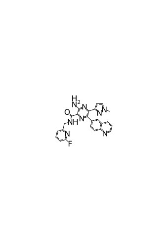 Cn1ccc(-c2nc(N)c(C(=O)NCc3cccc(F)n3)nc2-c2ccc3ncccc3c2)n1